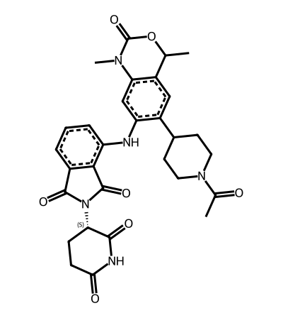 CC(=O)N1CCC(c2cc3c(cc2Nc2cccc4c2C(=O)N([C@H]2CCC(=O)NC2=O)C4=O)N(C)C(=O)OC3C)CC1